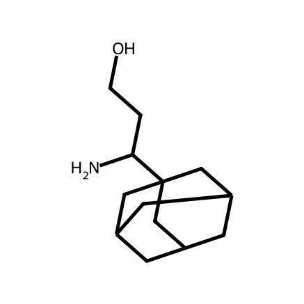 NC(CCO)C12CC3CC(CC(C3)C1)C2